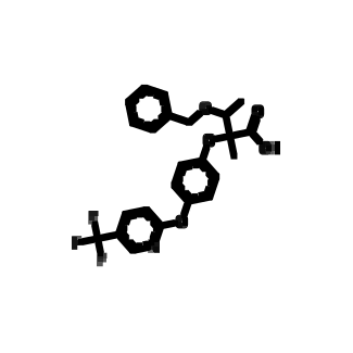 CC(OCc1ccccc1)C(C)(Oc1ccc(Oc2ccc(C(F)(F)F)cn2)cc1)C(=O)O